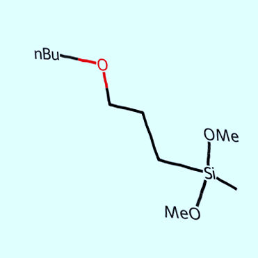 CCCCOCCC[Si](C)(OC)OC